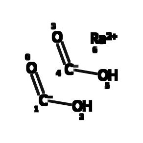 O=[C-]O.O=[C-]O.[Ra+2]